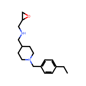 CCc1ccc(CN2CCC(CNCC3CO3)CC2)cc1